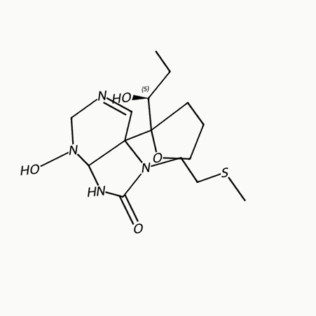 CC[C@H](O)C1(C23C=NCN(O)C2NC(=O)N3CCSC)CCCO1